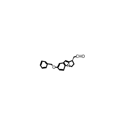 O=CC[C@H]1CCn2c1cc1cc(OCc3ccccc3)ccc12